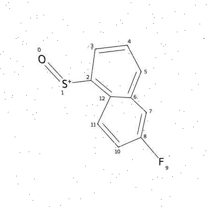 O=[S+]c1[c]ccc2cc(F)ccc12